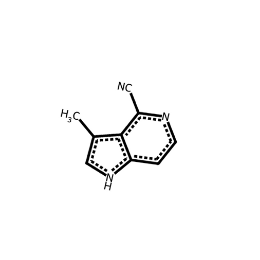 Cc1c[nH]c2ccnc(C#N)c12